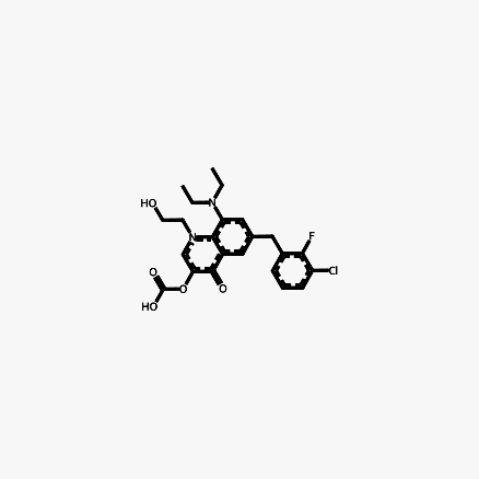 CCN(CC)c1cc(Cc2cccc(Cl)c2F)cc2c(=O)c(OC(=O)O)cn(CCO)c12